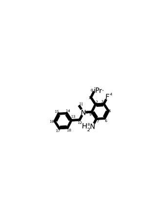 C[C](C)Cc1c(F)ccc(N)c1N(C)Cc1ccccc1